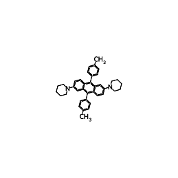 Cc1ccc(-c2c3ccc(N4CCCCC4)cc3c(-c3ccc(C)cc3)c3ccc(N4CCCCC4)cc23)cc1